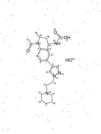 CC(=O)N1c2ccc(-c3cnn(CCN4CCCCC4)c3)cc2C(NC(=O)O)CC1C.Cl